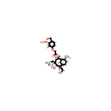 C=C[C@]1(C)C[C@@H](OC(=O)COc2ccc3c(c2F)B(O)OC3)[C@@]2(C)C[C@](CCC(C)=O)(CC[C@H]2C)[C@@H](C)[C@@H]1O